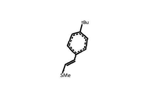 CSC=Cc1ccc(C(C)(C)C)cc1